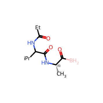 BC(=O)[C@H](C)NC(=O)C(NC(=O)CC)C(C)C